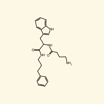 NCCCC(=O)NC(Cc1c[nH]c2ccccc12)C(=O)NCCCc1ccccc1